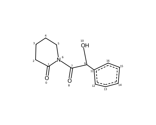 O=C1CCCCN1C(=O)C(O)c1ccccc1